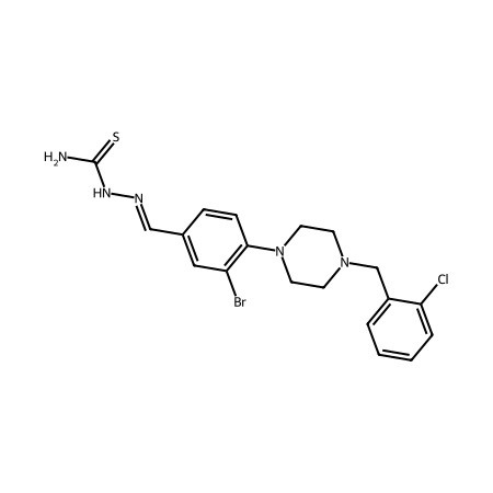 NC(=S)NN=Cc1ccc(N2CCN(Cc3ccccc3Cl)CC2)c(Br)c1